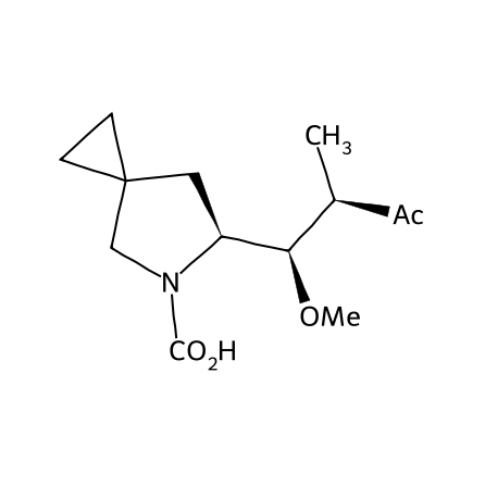 CO[C@H]([C@@H](C)C(C)=O)[C@@H]1CC2(CC2)CN1C(=O)O